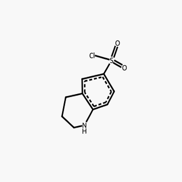 O=S(=O)(Cl)c1ccc2c(c1)CCCN2